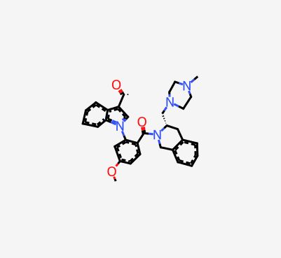 COc1ccc(C(=O)N2Cc3ccccc3C[C@H]2CN2CCN(C)CC2)c(-n2cc([C]=O)c3ccccc32)c1